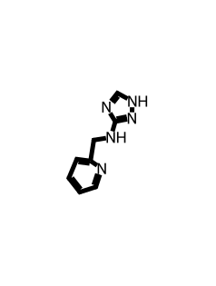 c1ccc(CNc2nc[nH]n2)nc1